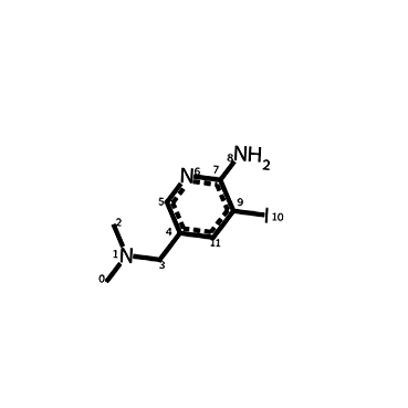 CN(C)Cc1cnc(N)c(I)c1